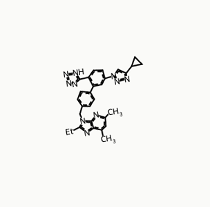 CCc1nc2c(C)cc(C)nc2n1Cc1ccc(-c2cc(-n3cc(C4CC4)nn3)ccc2-c2nnn[nH]2)cc1